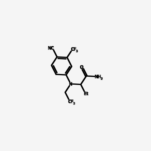 CCC(C(N)=O)N(CC(F)(F)F)c1ccc(C#N)c(C(F)(F)F)c1